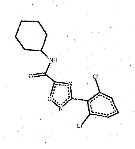 O=C(NC1CCCCC1)c1nc(-c2c(Cl)cccc2Cl)no1